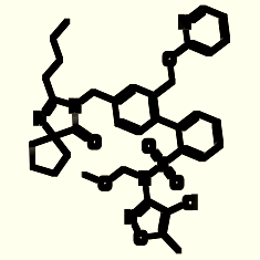 CCCCC1=NC2(CCCC2)C(=O)N1Cc1ccc(-c2ccccc2S(=O)(=O)N(COC)c2noc(C)c2Cl)c(COc2ccccn2)c1